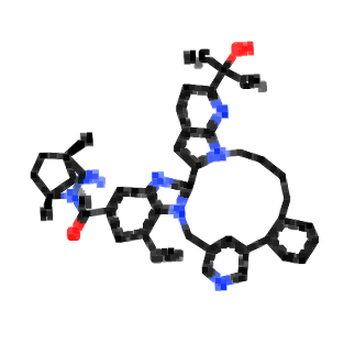 COc1cc(C(=O)N2C[C@H]3CC[C@@H]2[C@@H]3N)cc2nc3n(c12)Cc1cncc(c1)-c1ccccc1CCCCn1c-3cc2ccc(C(C)(C)O)nc21